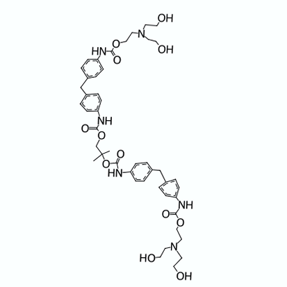 CC(C)(COC(=O)Nc1ccc(Cc2ccc(NC(=O)OCCN(CCO)CCO)cc2)cc1)OC(=O)Nc1ccc(Cc2ccc(NC(=O)OCCN(CCO)CCO)cc2)cc1